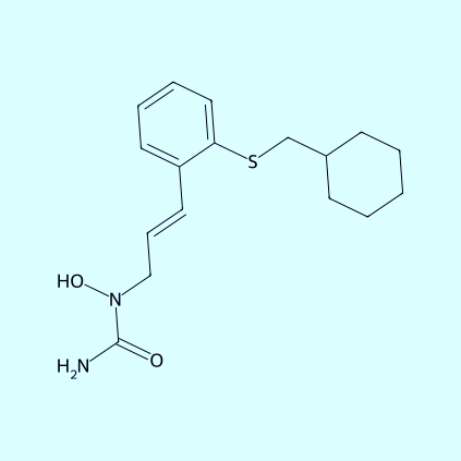 NC(=O)N(O)CC=Cc1ccccc1SCC1CCCCC1